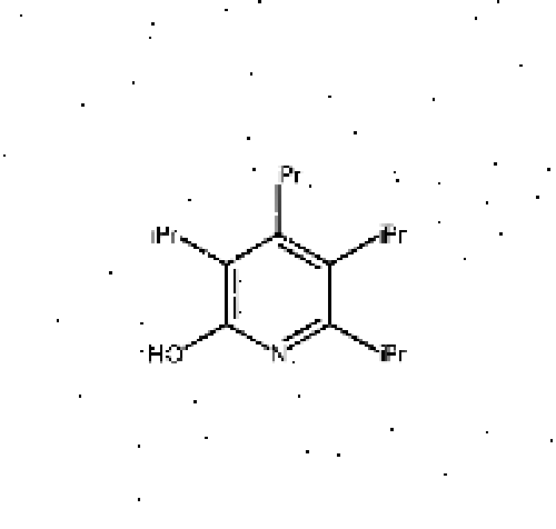 CC(C)c1nc(O)c(C(C)C)c(C(C)C)c1C(C)C